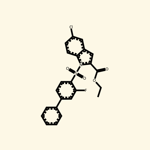 CCOC(=O)c1cc2cc(Cl)ccc2n1S(=O)(=O)c1ccc(-c2ccccc2)cc1F